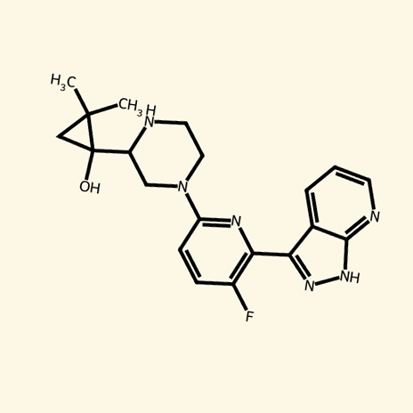 CC1(C)CC1(O)C1CN(c2ccc(F)c(-c3n[nH]c4ncccc34)n2)CCN1